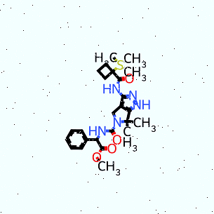 COC(=O)C(NC(=O)N1Cc2c(NC(=O)C3(S(C)(C)C)CCC3)n[nH]c2C1(C)C)c1ccccc1